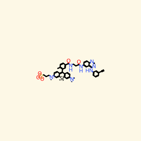 C#Cc1cccc(Nc2ncnc3ccc(NC(=O)CCNC(=O)c4ccc(C)c(C5=C6C=C/C(=[N+](/C)CCCS(=O)(=O)[O-])C=C6[Si](C)(C)c6cc(N(C)C)ccc65)c4)cc23)c1